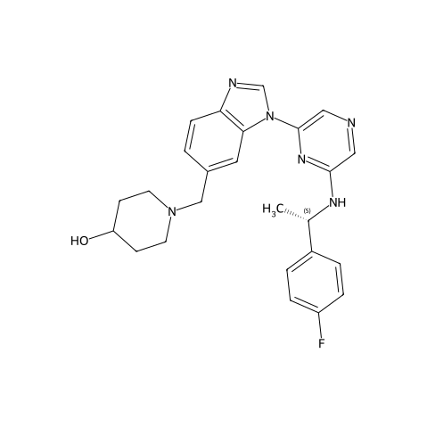 C[C@H](Nc1cncc(-n2cnc3ccc(CN4CCC(O)CC4)cc32)n1)c1ccc(F)cc1